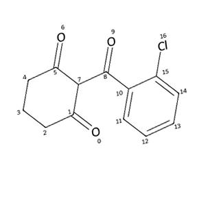 O=C1CCCC(=O)C1C(=O)c1ccccc1Cl